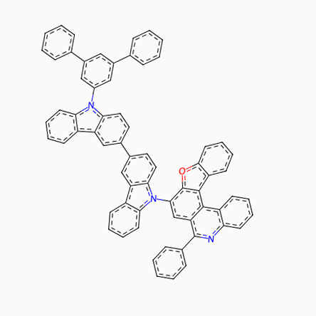 c1ccc(-c2cc(-c3ccccc3)cc(-n3c4ccccc4c4cc(-c5ccc6c(c5)c5ccccc5n6-c5cc6c(-c7ccccc7)nc7ccccc7c6c6c5oc5ccccc56)ccc43)c2)cc1